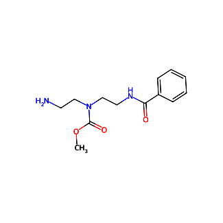 COC(=O)N(CCN)CCNC(=O)c1ccccc1